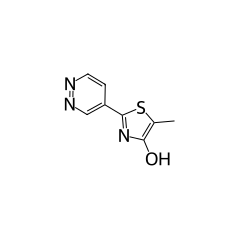 Cc1sc(-c2ccnnc2)nc1O